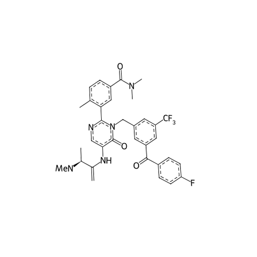 C=C(Nc1cnc(-c2cc(C(=O)N(C)C)ccc2C)n(Cc2cc(C(=O)c3ccc(F)cc3)cc(C(F)(F)F)c2)c1=O)[C@H](C)NC